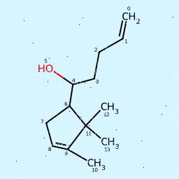 C=CCCC(O)C1CC=C(C)C1(C)C